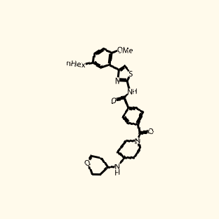 CCCCCCc1ccc(OC)c(-c2csc(NC(=O)c3ccc(C(=O)N4CCC(NC5CCOCC5)CC4)cc3)n2)c1